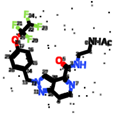 CC(=O)NCCNC(=O)c1nccc2nn(Cc3ccc(OC(F)(F)C(F)F)cc3)cc12